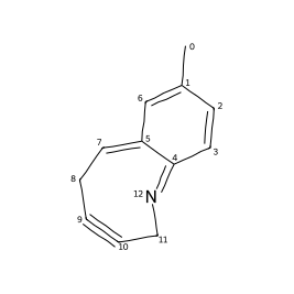 Cc1ccc2/c(c1)=C\CC#CC/N=2